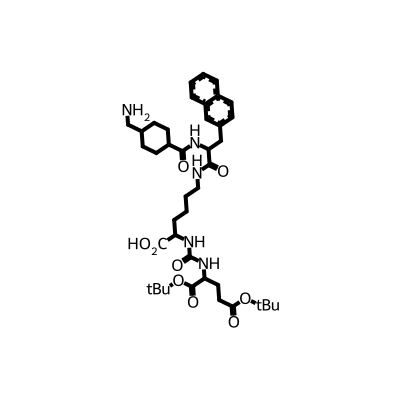 CC(C)(C)OC(=O)CCC(NC(=O)NC(CCCCNC(=O)C(Cc1ccc2ccccc2c1)NC(=O)C1CCC(CN)CC1)C(=O)O)C(=O)OC(C)(C)C